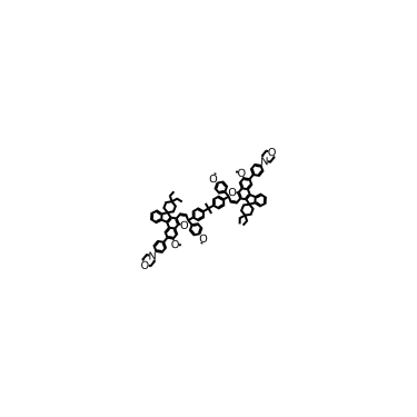 CCC1(CC)CCC2(CC1)c1ccccc1-c1c2c2c(c3cc(OC)c(-c4ccc(N5CCOCC5)cc4)cc13)OC(c1ccc(OC)cc1)(c1ccc(C(C)(C)c3ccc(C4(c5ccc(OC)cc5)C=Cc5c6c(c7cc(-c8ccc(N9CCOCC9)cc8)c(OC)cc7c5O4)-c4ccccc4C64CCC(CC)(CC)CC4)cc3)cc1)C=C2